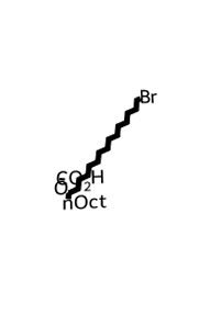 CCCCCCCCC(CCCCCCCCCCCCCCBr)OC(=O)O